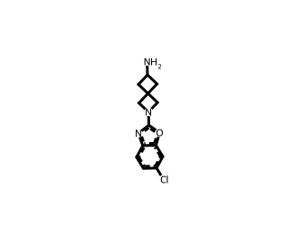 NC1CC2(C1)CN(c1nc3ccc(Cl)cc3o1)C2